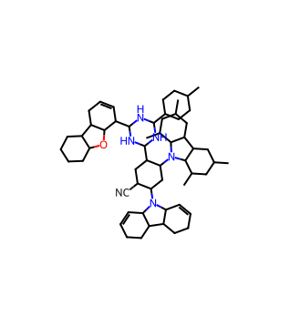 CC1CCC(C2NC(C3C=CCC4C5CCCCC5OC34)NC(C3CC(C#N)C(N4C5C=CCCC5C5CCC=CC54)CC3N3C4C(C)CC(C)CC4C4CC(C)CC(C)C43)N2)CC1